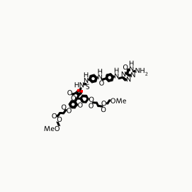 COCCOC(=O)CCC(=O)Oc1ccc2c(c1)OC1=C(C=CC(OC(=O)CCC(=O)OCCOC)C1)C21OC(=O)c2cc(NC(=S)Nc3ccc(NC(=O)c4ccc(NCc5cnc6nc(N)[nH]c(=O)c6n5)cc4)cc3)ccc21